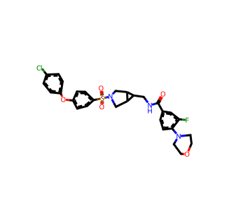 O=C(NCC1C2CN(S(=O)(=O)c3ccc(Oc4ccc(Cl)cc4)cc3)CC12)c1ccc(N2CCOCC2)c(F)c1